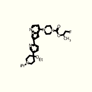 CCOC1(c2ccc(-c3cc4c(N5CCN(C(=O)O[C@H](C)CF)CC5)ccnn4c3)nc2)CCN(C(C)C)CC1